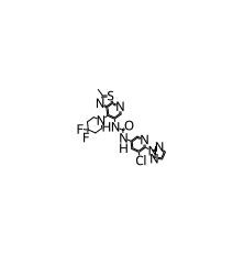 Cc1nc2c(N3CCC(F)(F)CC3)c(NC(=O)Nc3cnc(-n4nccn4)c(Cl)c3)cnc2s1